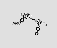 COc1ccc(/N=N/c2n(C)cc[n+]2CCCCC[n+]2ccn(C)c2/N=N/c2ccc(C3CCCC3)cc2)cc1